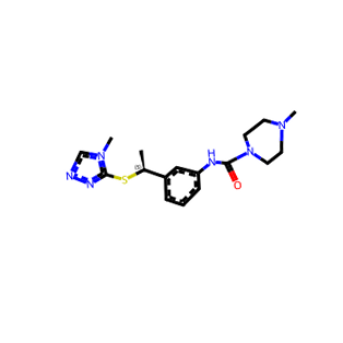 C[C@H](Sc1nncn1C)c1cccc(NC(=O)N2CCN(C)CC2)c1